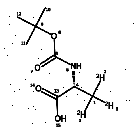 [2H]C([2H])([2H])[C@@H](NC(=O)OC(C)(C)C)C(=O)O